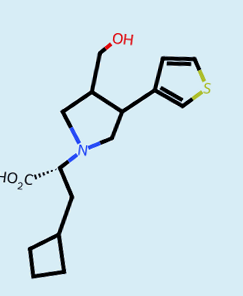 O=C(O)[C@@H](CC1CCC1)N1CC(CO)C(c2ccsc2)C1